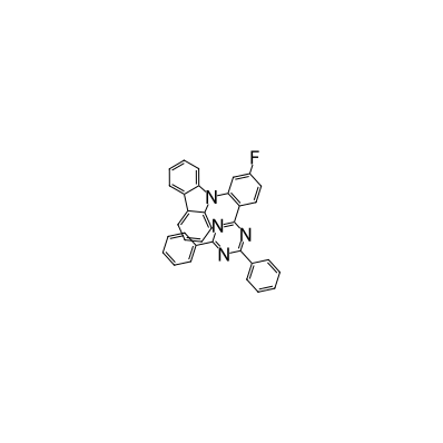 Fc1ccc(-c2nc(-c3ccccc3)nc(-c3ccccc3)n2)c(-n2c3ccccc3c3ccccc32)c1